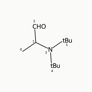 CC(C=O)N(C(C)(C)C)C(C)(C)C